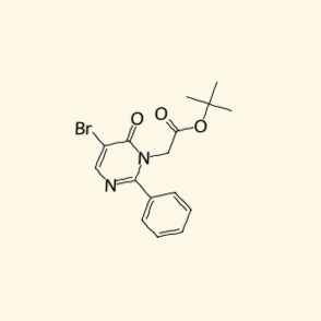 CC(C)(C)OC(=O)Cn1c(-c2ccccc2)ncc(Br)c1=O